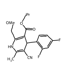 COCC1=C(C(=O)OC(C)C)C(c2ccc(F)cc2F)C(C#N)=C(C)N1